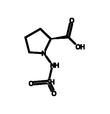 O=C(O)[C@@H]1CCCN1N[SH](=O)=O